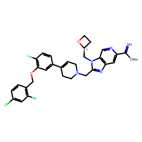 COC(=N)c1cc2nc(CN3CC=C(c4ccc(F)c(OCc5ccc(Cl)cc5F)c4)CC3)n(C[C@@H]3CCO3)c2cn1